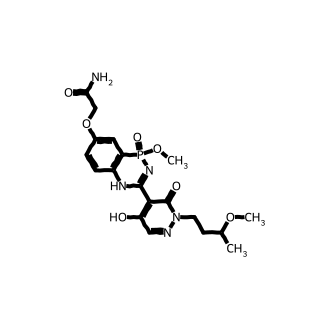 COC(C)CCn1ncc(O)c(C2=NP(=O)(OC)c3cc(OCC(N)=O)ccc3N2)c1=O